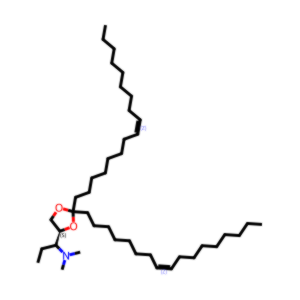 CCCCCCCC/C=C\CCCCCCCC1(CCCCCCC/C=C\CCCCCCCC)OC[C@H](C(CC)N(C)C)O1